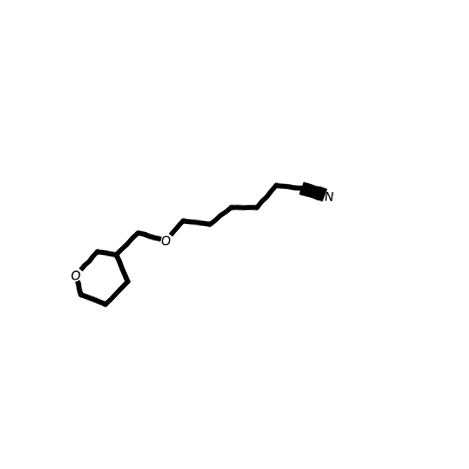 N#CCCCCCOCC1CCCOC1